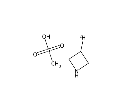 CS(=O)(=O)O.[2H]C1CNC1